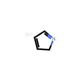 B.C1=CCN=C1